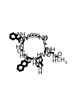 CC(=O)NCC(=O)N[C@H]1CCC(=O)NCCCCNC(=O)[C@@H](Cc2c[nH]c3ccccc23)NC(=O)CNC(=O)[C@@H](Cc2ccc3ccccc3c2)NC(=O)[C@H](Cc2c[nH]cn2)NC1=O